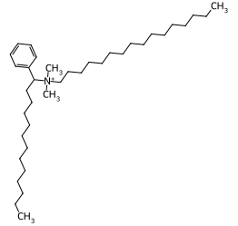 CCCCCCCCCCCCCCCC[N+](C)(C)C(CCCCCCCCCCCC)c1ccccc1